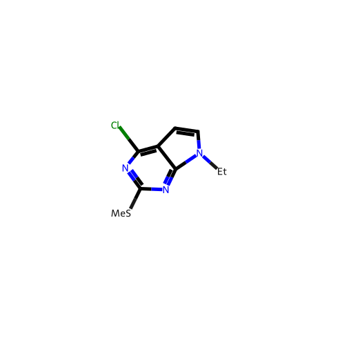 CCn1ccc2c(Cl)nc(SC)nc21